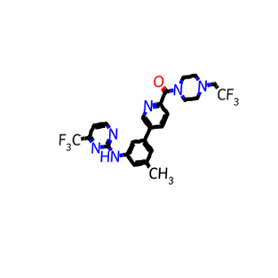 Cc1cc(Nc2nccc(C(F)(F)F)n2)cc(-c2ccc(C(=O)N3CCN(CC(F)(F)F)CC3)nc2)c1